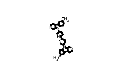 Cc1ccc2c(c1)c1ccncc1n2-c1ccc(-c2ccc(-n3c4ccc(C)cc4c4ccncc43)cn2)nc1